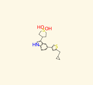 OS1(O)CCC(c2c[nH]c3ccc(-c4csc(CC5CC5)c4)cc23)CC1